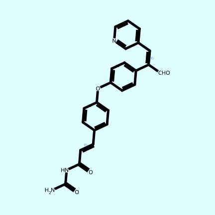 NC(=O)NC(=O)/C=C/c1ccc(Oc2ccc(/C(C=O)=C\c3cccnc3)cc2)cc1